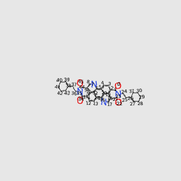 O=C1c2ccc3c4ncc5c6c(ccc(c7ncc(c2c37)C(=O)N1CCC1CCCCC1)c64)C(=O)N(CCC1CCCCC1)C5=O